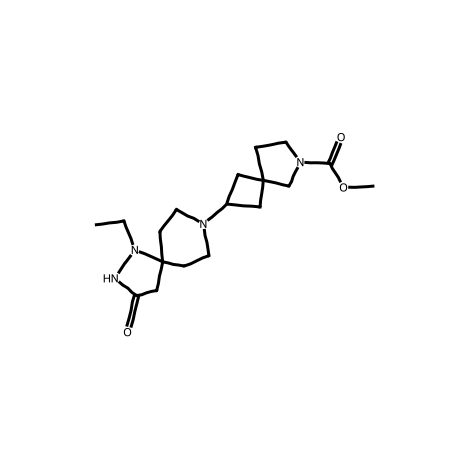 CCN1NC(=O)CC12CCN(C1CC3(CCN(C(=O)OC)C3)C1)CC2